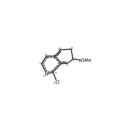 COC1C=c2c(Cl)nccc2=CC1